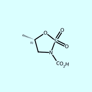 C[C@H]1CN(C(=O)O)S(=O)(=O)O1